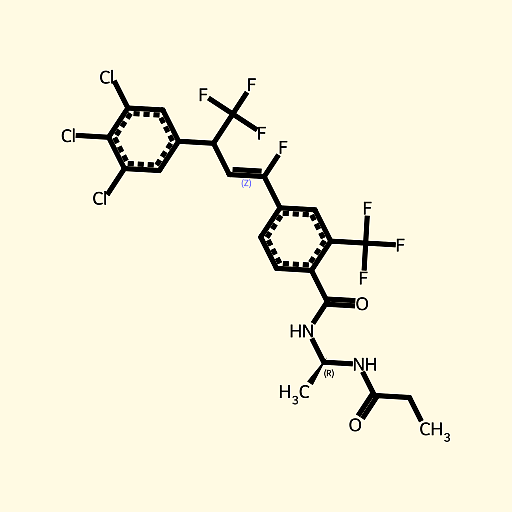 CCC(=O)N[C@@H](C)NC(=O)c1ccc(/C(F)=C/C(c2cc(Cl)c(Cl)c(Cl)c2)C(F)(F)F)cc1C(F)(F)F